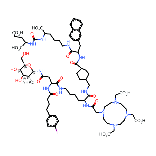 CC(=O)N[C@@H]1[C@@H](O)[C@H](O)[C@@H](CO)O[C@@H]1NC(=O)CC(NC(=O)CCCc1ccc(I)cc1)C(=O)NCCCCC(NC(=O)CN1CCN(CC(=O)O)CCN(CC(=O)O)CCN(CC(=O)O)CC1)C(=O)NCC1CCC(C(=O)NC(Cc2ccc3ccccc3c2)C(=O)NCCCCC(NC(=O)NC(CCC(=O)O)C(=O)O)C(=O)O)CC1